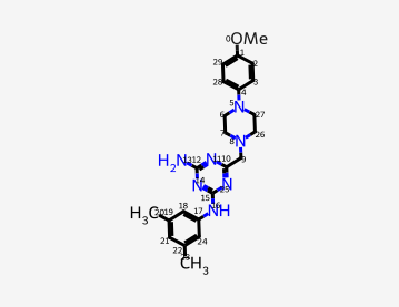 COc1ccc(N2CCN(Cc3nc(N)nc(Nc4cc(C)cc(C)c4)n3)CC2)cc1